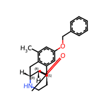 Cc1cc(OCc2ccccc2)[c]c2c1C[C@H]1NCC[C@@]23CC(=O)CC[C@@H]13